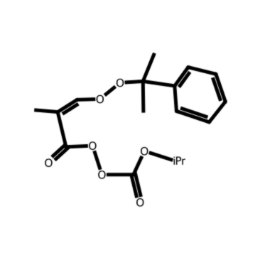 CC(=COOC(C)(C)c1ccccc1)C(=O)OOC(=O)OC(C)C